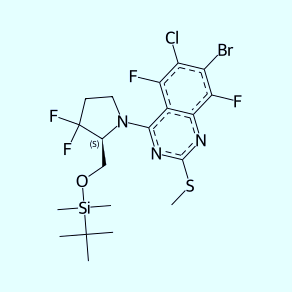 CSc1nc(N2CCC(F)(F)[C@@H]2CO[Si](C)(C)C(C)(C)C)c2c(F)c(Cl)c(Br)c(F)c2n1